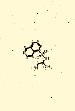 CC(CN)NS(=O)(=O)c1cccc2cnccc12